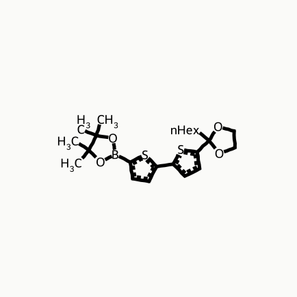 CCCCCCC1(c2ccc(-c3ccc(B4OC(C)(C)C(C)(C)O4)s3)s2)OCCO1